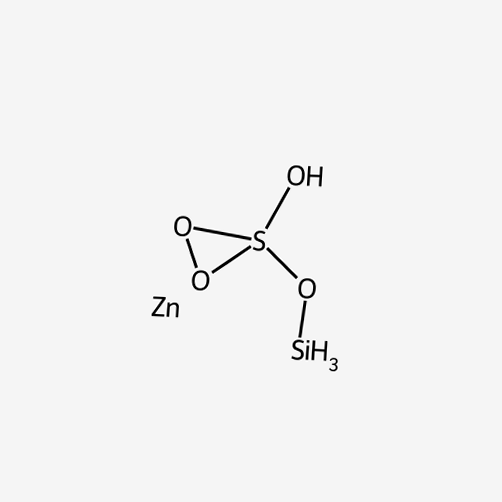 OS1(O[SiH3])OO1.[Zn]